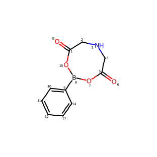 O=C1CNCC(=O)OB(c2ccccc2)O1